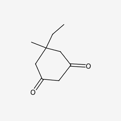 CCC1(C)CC(=O)CC(=O)C1